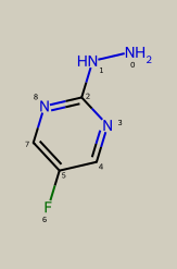 NNc1ncc(F)cn1